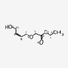 CCOC(=O)COC/C=C\CO